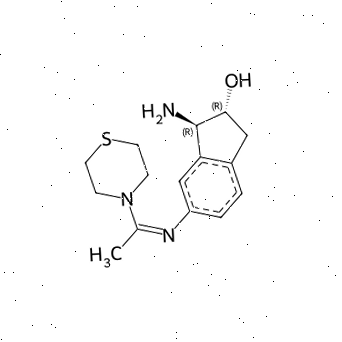 CC(=Nc1ccc2c(c1)[C@@H](N)[C@H](O)C2)N1CCSCC1